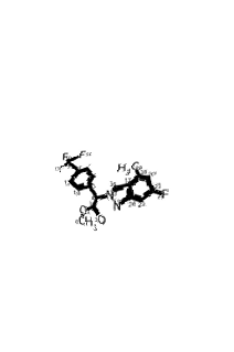 COC(=O)C(c1ccc(C(F)(F)F)cc1)n1cc2c(C)cc(F)cc2n1